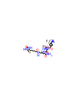 CCC(=O)NC(CNC(=O)c1ccc(C2(C(F)(F)F)N=N2)cc1)C(=O)NC(CCCCNC(=O)CCCCC1SCC2NC(=O)NC21)C(N)=O